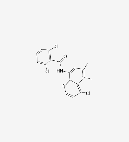 Cc1cc(NC(=O)c2c(Cl)cccc2Cl)c2nccc(Cl)c2c1C